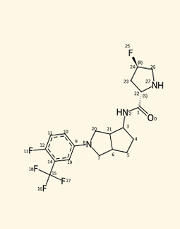 O=C(NC1CCC2CN(c3ccc(F)c(C(F)(F)F)c3)CC21)[C@@H]1C[C@@H](F)CN1